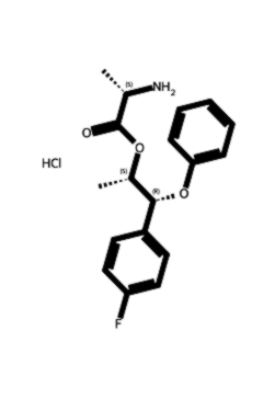 C[C@H](N)C(=O)O[C@@H](C)[C@H](Oc1ccccc1)c1ccc(F)cc1.Cl